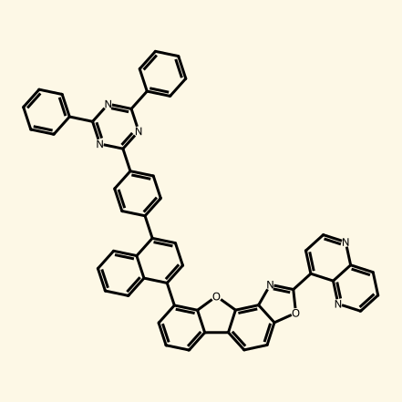 c1ccc(-c2nc(-c3ccccc3)nc(-c3ccc(-c4ccc(-c5cccc6c5oc5c6ccc6oc(-c7ccnc8cccnc78)nc65)c5ccccc45)cc3)n2)cc1